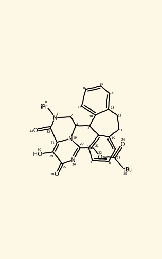 CC(C)N1CC(C2c3ccccc3CCc3ccccc32)n2c(COC(=O)C(C)(C)C)nc(=O)c(O)c2C1=O